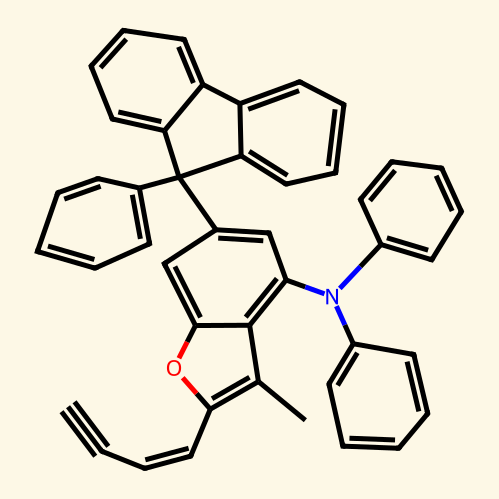 C#C/C=C\c1oc2cc(C3(c4ccccc4)c4ccccc4-c4ccccc43)cc(N(c3ccccc3)c3ccccc3)c2c1C